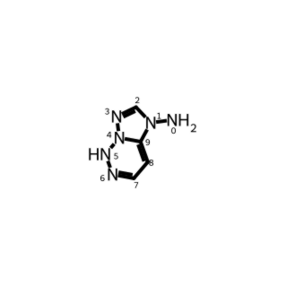 NN1C=NN2NN=CC=C12